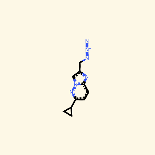 [N-]=[N+]=NCc1cn2nc(C3CC3)ccc2n1